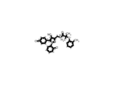 Cc1ccccc1OC(C)(C)C(=O)NCc1nn(-c2ccccc2Cl)c(-c2ccc(Cl)cc2)c1C#N